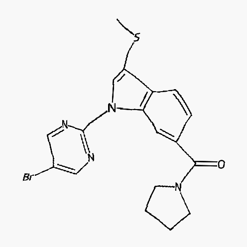 CSc1cn(-c2ncc(Br)cn2)c2cc(C(=O)N3CCCC3)ccc12